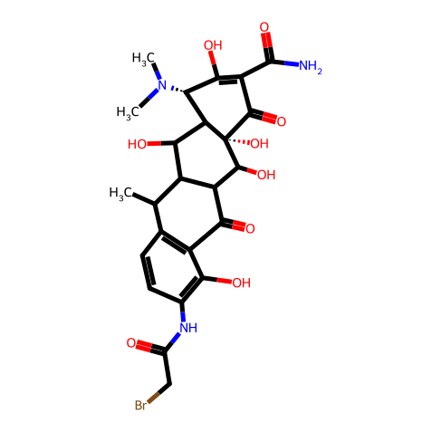 CC1c2ccc(NC(=O)CBr)c(O)c2C(=O)C2C1C(O)C1[C@H](N(C)C)C(O)=C(C(N)=O)C(=O)[C@@]1(O)C2O